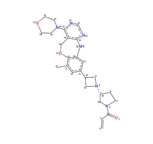 C=CC(=O)N1CC[C@@H](N2CC(c3cc(C)c4c(c3)Nc3ncnc(N5CCOCC5)c3CO4)C2)C1